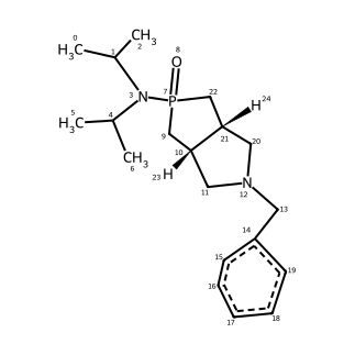 CC(C)N(C(C)C)P1(=O)C[C@H]2CN(Cc3ccccc3)C[C@H]2C1